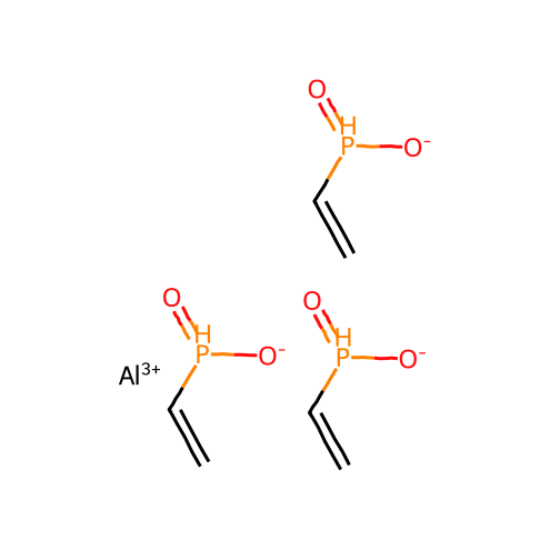 C=C[PH](=O)[O-].C=C[PH](=O)[O-].C=C[PH](=O)[O-].[Al+3]